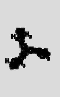 CC(C)(OC(=O)COc1ccc([S+](c2ccc(OCC(=O)OC(C)(C)C34CC5CC(CC(C5)C3)C4)cc2)c2ccc(OCC(=O)OC(C)(C)C34CC5CC(CC(C5)C3)C4)cc2)cc1)C12CC3CC(CC(C3)C1)C2